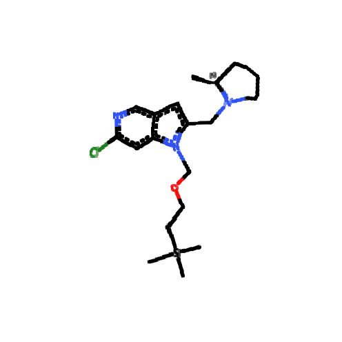 C[C@H]1CCCN1Cc1cc2cnc(Cl)cc2n1COCC[Si](C)(C)C